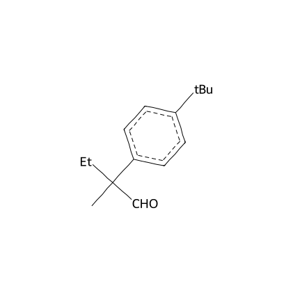 CCC(C)(C=O)c1ccc(C(C)(C)C)cc1